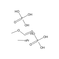 CCCC.COC=O.O=P(O)(O)O.O=P(O)(O)O